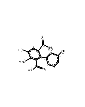 CCCCC(=O)c1c(OC)c(N)cc(C(N)=O)c1-c1cccc(C)n1